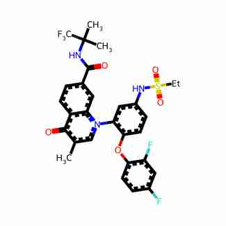 CCS(=O)(=O)Nc1ccc(Oc2ccc(F)cc2F)c(-n2cc(C)c(=O)c3ccc(C(=O)NC(C)(C)C(F)(F)F)cc32)c1